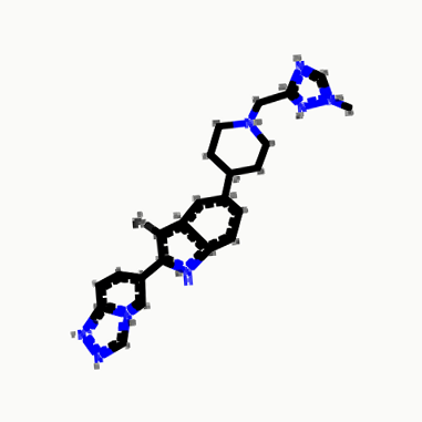 CC(C)c1c(-c2ccc3nncn3c2)[nH]c2ccc(C3CCN(Cc4ncn(C)n4)CC3)cc12